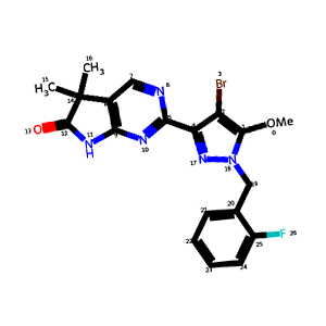 COc1c(Br)c(-c2ncc3c(n2)NC(=O)C3(C)C)nn1Cc1ccccc1F